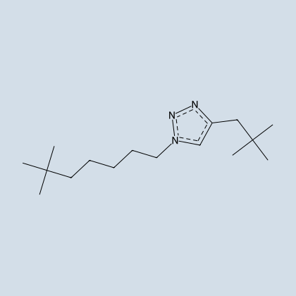 CC(C)(C)CCCCCn1cc(CC(C)(C)C)nn1